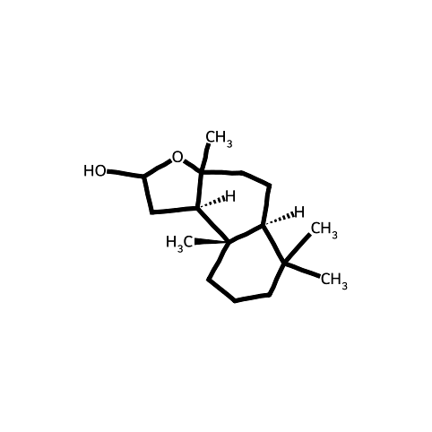 CC1(C)CCC[C@@]2(C)[C@H]1CCC1(C)OC(O)C[C@@H]12